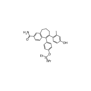 CCC[C@@H](CC)Oc1ccc(C2=C(c3ccc(O)cc3C)CCCc3cc(C(N)=O)ccc32)cc1